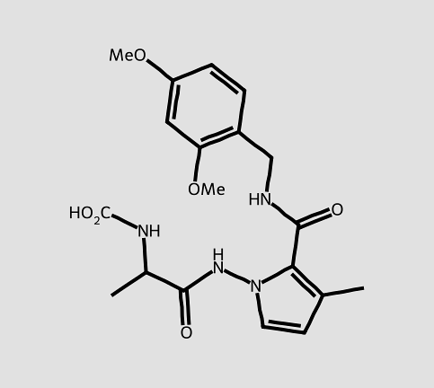 COc1ccc(CNC(=O)c2c(C)ccn2NC(=O)C(C)NC(=O)O)c(OC)c1